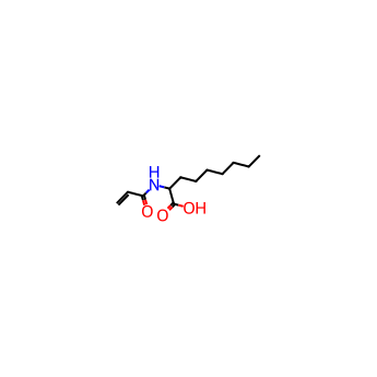 C=CC(=O)NC(CCCCCCC)C(=O)O